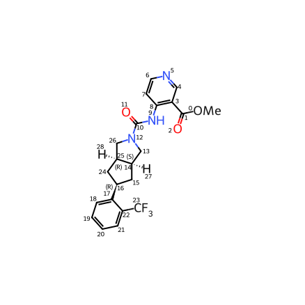 COC(=O)c1cnccc1NC(=O)N1C[C@H]2C[C@@H](c3ccccc3C(F)(F)F)C[C@H]2C1